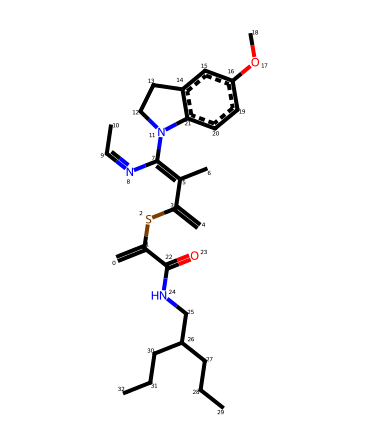 C=C(SC(=C)/C(C)=C(\N=C/C)N1CCc2cc(OC)ccc21)C(=O)NCC(CCC)CCC